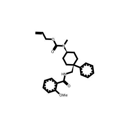 C=CCOC(=O)N(C)[C@H]1CC[C@](CNC(=O)c2ccccc2OC)(c2ccccc2)CC1